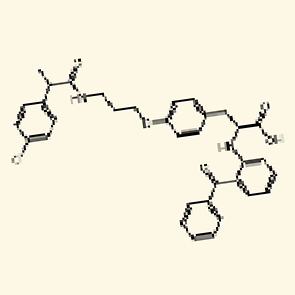 CC(C(=O)NCCCOc1ccc(CC(Nc2ccccc2C(=O)c2ccccc2)C(=O)O)cc1)c1ccc(Cl)cc1